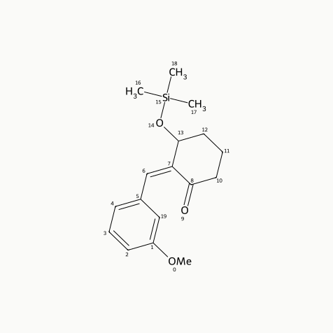 COc1cccc(C=C2C(=O)CCCC2O[Si](C)(C)C)c1